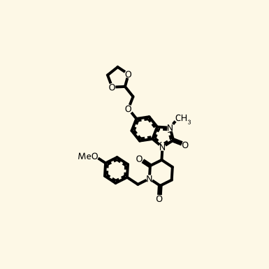 COc1ccc(CN2C(=O)CCC(n3c(=O)n(C)c4cc(OCC5OCCO5)ccc43)C2=O)cc1